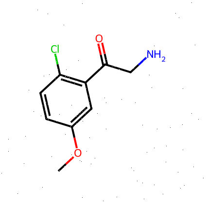 COc1ccc(Cl)c(C(=O)CN)c1